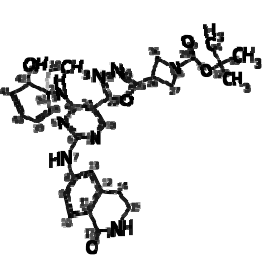 CC[C@]1(Nc2nc(Nc3ccc4c(c3)CCNC4=O)ncc2-c2nnc(C3CN(C(=O)OC(C)(C)C)C3)o2)C=CC=CC1O